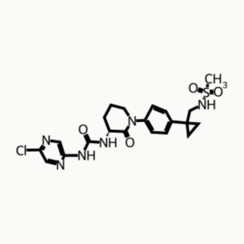 CS(=O)(=O)NCC1(c2ccc(N3CCC[C@@H](NC(=O)Nc4cnc(Cl)cn4)C3=O)cc2)CC1